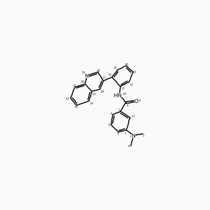 CN(C)c1cccc(C(=O)Nc2ccccc2-c2cnc3ccccc3c2)c1